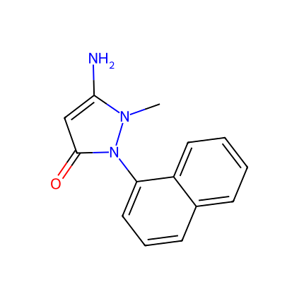 Cn1c(N)cc(=O)n1-c1cccc2ccccc12